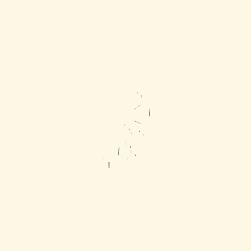 O=C(O)c1cnn(-c2nc3cc(N4CCCCC4)c(Cl)cc3[nH]2)c1